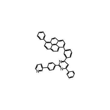 c1ccc(-c2cc(-c3cccc(-c4ccc5ccc6c(-c7ccccc7)ccc7ccc4c5c76)c3)nc(-c3ccc(-c4cccnc4)cc3)n2)cc1